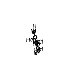 CN(C)[C@@H]1CC[C@@H]2CN(c3ncc(-c4ccc(-c5cn[nH]c5)cc4O)nn3)C[C@@H]21.Cl.Cl